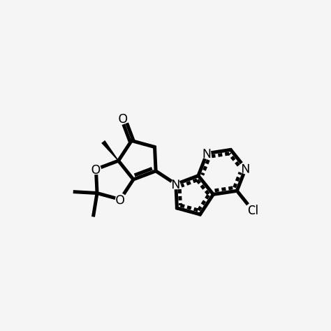 CC1(C)OC2=C(n3ccc4c(Cl)ncnc43)CC(=O)[C@@]2(C)O1